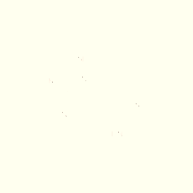 C1=NC2=NC=C3NCN4CCC(=C34)N2N1